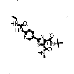 CCNC(=O)Nc1ccc(-c2nc(C(=O)NC(C)(C)C)c(C(=O)N(C)C)s2)cn1